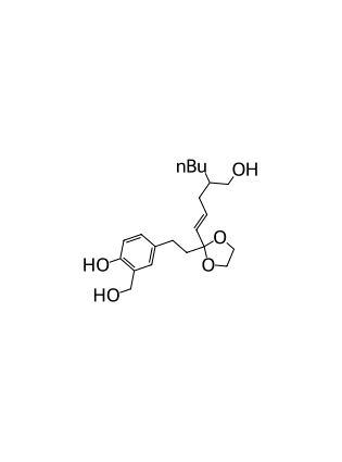 CCCCC(CO)C/C=C/C1(CCc2ccc(O)c(CO)c2)OCCO1